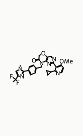 COc1ccnc(C2CC2)c1-c1ncc2c(n1)N(Cc1ccc(-c3nc(C(C)(F)F)cn3C)cc1)C(=O)CO2